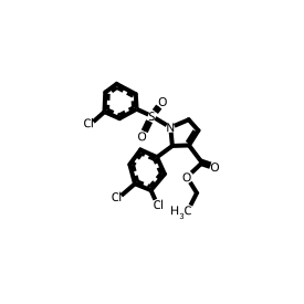 CCOC(=O)C1=CCN(S(=O)(=O)c2cccc(Cl)c2)C1c1ccc(Cl)c(Cl)c1